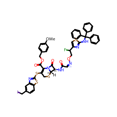 COc1ccc(COC(=O)C2=C(Sc3nc4cc(CI)ccc4s3)CS[C@H]3[C@H](NC(=O)/C=N\OCC(F)c4csc(NC(c5ccccc5)(c5ccccc5)c5ccccc5)n4)C(=O)N23)cc1